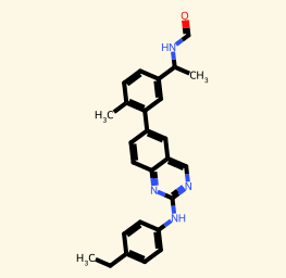 CCc1ccc(Nc2ncc3cc(-c4cc(C(C)NC=O)ccc4C)ccc3n2)cc1